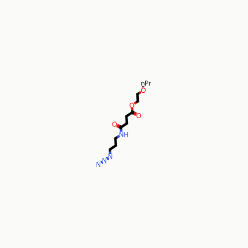 CCCOCCOC(=O)CCC(=O)NCCCN=[N+]=[N-]